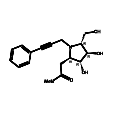 CNC(=O)C[C@@H]1[C@@H](O)[C@H](O)[C@@H](CO)N1CC#Cc1ccccc1